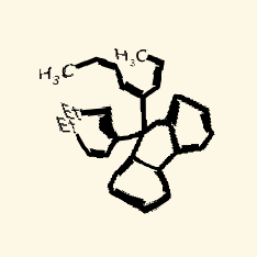 C\C=C/C=C(\C=C/C)C1(C(/C=C\CC)=C/CC)c2ccccc2-c2ccccc21